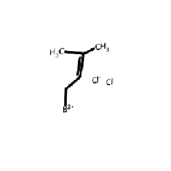 [B+2]CC=C(C)C.[Cl-].[Cl-]